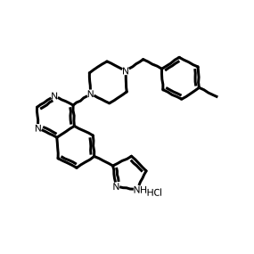 Cc1ccc(CN2CCN(c3ncnc4ccc(-c5cc[nH]n5)cc34)CC2)cc1.Cl